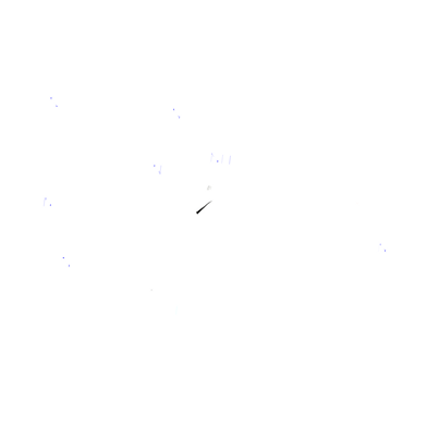 C[C@@H](Nc1ncc(C#N)c(-c2c[nH]c3ncc(C(F)(F)F)cc23)n1)c1ccc(S(=O)(=O)N(C)C)cc1